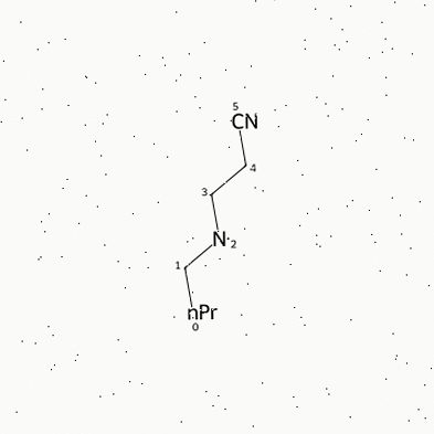 CCCC[N]CCC#N